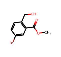 COC(=O)c1cc(Br)ccc1CO